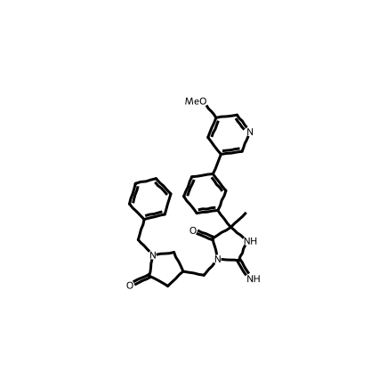 COc1cncc(-c2cccc(C3(C)NC(=N)N(CC4CC(=O)N(Cc5ccccc5)C4)C3=O)c2)c1